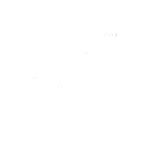 O=C(O)COCCOC(=O)CI